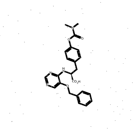 CN(C)C(=O)Oc1ccc(C[C@H](Nc2ncncc2OCc2ccccc2)C(=O)O)cc1